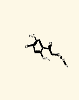 Cc1cc(C(=O)CN=[N+]=[N-])c(N)cc1Cl